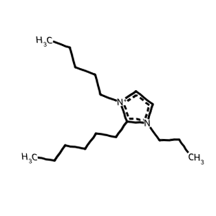 CCCCCCc1n(CCC)cc[n+]1CCCCC